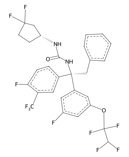 O=C(N[C@@H]1CCC(F)(F)C1)N[C@@](Cc1ccccc1)(c1cc(F)cc(OC(F)(F)C(F)F)c1)c1ccc(F)c(C(F)(F)F)c1